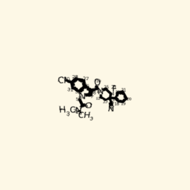 CN(C)C(=O)Cn1cc(C(=O)N2CCC(C#N)(c3ccccc3F)CC2)c2ccc(Cl)cc21